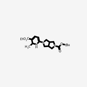 CCOC(=O)C1=CC=C(N2CC3CN(C(=O)OC(C)(C)C)CC3C2)NC1C